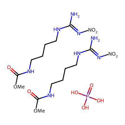 COC(=O)NCCCCNC(N)=N[N+](=O)[O-].COC(=O)NCCCCNC(N)=N[N+](=O)[O-].O=P(O)(O)O